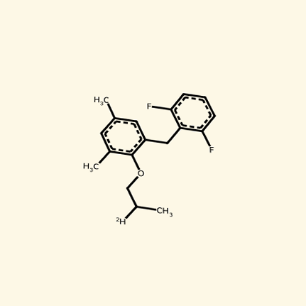 [2H]C(C)COc1c(C)cc(C)cc1Cc1c(F)cccc1F